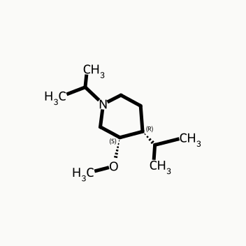 CO[C@@H]1CN(C(C)C)CC[C@@H]1C(C)C